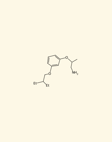 CCC(CC)COc1cccc(OC(C)CN)c1